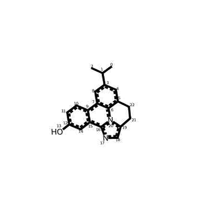 CC(C)c1cc2c3c(c1)c1ccc(O)cc1c1ncc(n13)CC2